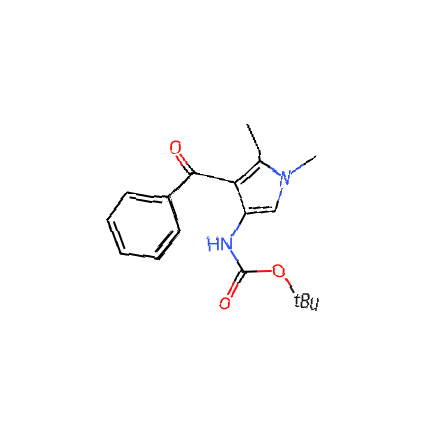 Cc1c(C(=O)c2ccccc2)c(NC(=O)OC(C)(C)C)cn1C